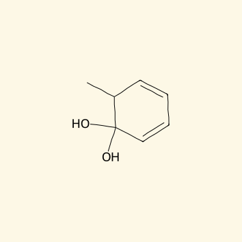 CC1C=CC=CC1(O)O